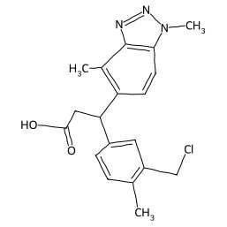 Cc1ccc(C(CC(=O)O)c2ccc3c(nnn3C)c2C)cc1CCl